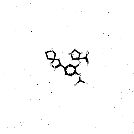 CCC(=O)[C@]1(Oc2cc(C3=NOC4(CCOC4)C3)ccc2OC(F)F)CCNC1